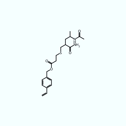 C=Cc1ccc(COC(=O)CCSCC(CC(C)NC(C)=O)C(N)=O)cc1